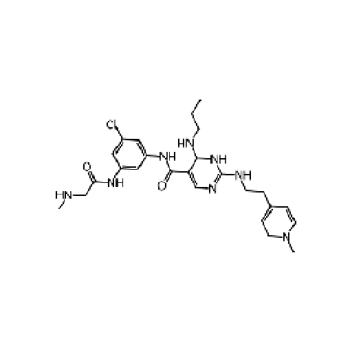 CCCNC1NC(NCCC2=CCN(C)C=C2)=NC=C1C(=O)Nc1cc(Cl)cc(NC(=O)CNC)c1